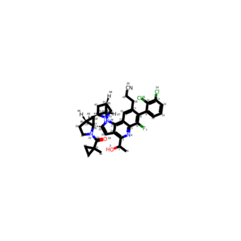 CC(O)c1nc2c(F)c(-c3cccc(Cl)c3Cl)c(CCC#N)cc2c2c1cc([C@@]13C[C@H]1CCN3C(=O)C1(C)CC1)n2[C@H]1[C@H]2CN[C@@H]1C2